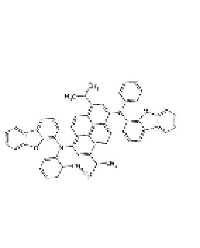 CC1CC=CC=C1N(c1cc(C(C)C)c2ccc3c(N(c4ccccc4)c4cccc5c4oc4ccccc45)cc(C(C)C)c4ccc1c2c43)c1cccc2c1oc1ccccc12